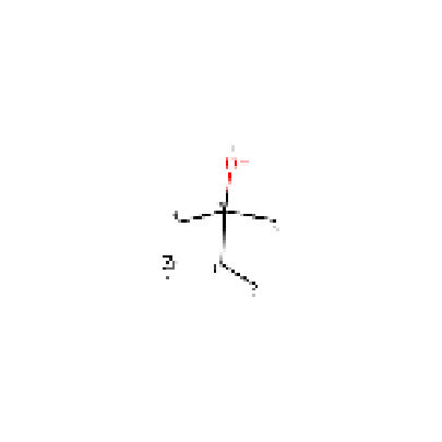 CCC(C)(C)O.[Zn]